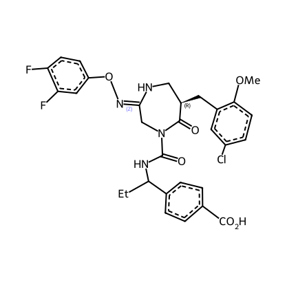 CCC(NC(=O)N1C/C(=N/Oc2ccc(F)c(F)c2)NC[C@@H](Cc2cc(Cl)ccc2OC)C1=O)c1ccc(C(=O)O)cc1